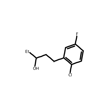 CCC(O)C[CH]c1cc(F)ccc1Cl